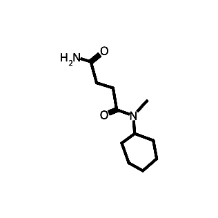 CN(C(=O)CCC(N)=O)C1CCCCC1